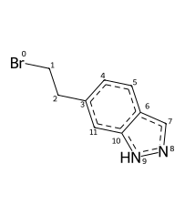 BrCCc1ccc2cn[nH]c2c1